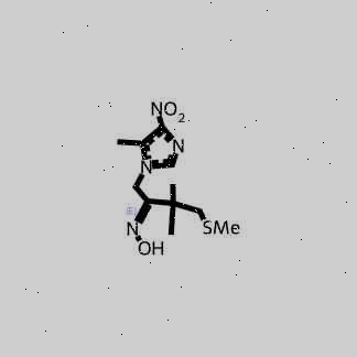 CSCC(C)(C)/C(Cn1cnc([N+](=O)[O-])c1C)=N\O